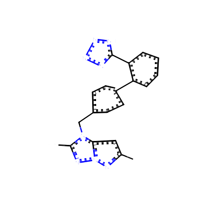 CCCc1cc2n(Cc3ccc(-c4ccccc4-c4nnn[nH]4)cc3)c(CCC)nn2n1